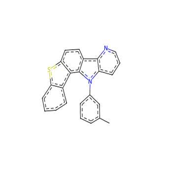 Cc1cccc(-n2c3cccnc3c3ccc4sc5ccccc5c4c32)c1